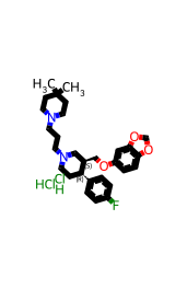 CC1(C)CCN(CCCN2CC[C@@H](c3ccc(F)cc3)[C@H](COc3ccc4c(c3)OCO4)C2)CC1.Cl.Cl